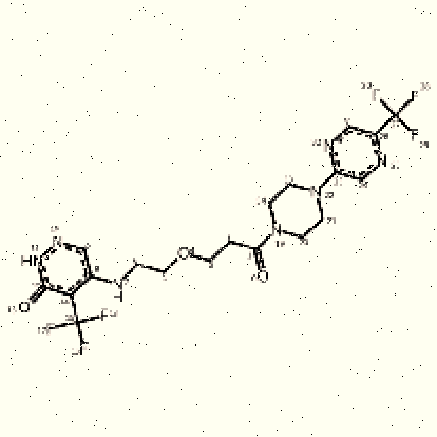 O=C(CCOCCNc1cn[nH]c(=O)c1C(F)(F)F)N1CCN(c2cnc(C(F)(F)F)cn2)CC1